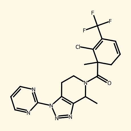 CC1c2nnn(-c3ncccn3)c2CCN1C(=O)C1(C)CC=CC(C(F)(F)F)=C1Cl